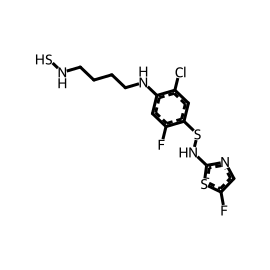 Fc1cnc(NSc2cc(Cl)c(NCCCCNS)cc2F)s1